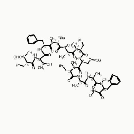 CCNC(=O)[C@H](Cc1ccccc1)N(C)C(=O)[C@H](C)N(C)C(=O)[C@H](C)NC(=O)[C@H](CC(C)C)N(C)C(=O)[C@H](COC(C)(C)C)NC(=O)[C@H](CC(C)C)N(C)C(=O)[C@H](C)N(C)C(=O)[C@H]([C@@H](C)CC)N(C)C(=O)[C@H](Cc1ccccc1)NC(=O)[C@@H](NC(=O)[C@H](CC(C)C)N(C)C=O)[C@@H](C)O